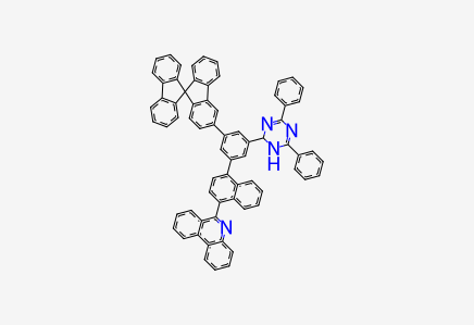 c1ccc(C2=NC(c3cc(-c4ccc5c(c4)-c4ccccc4C54c5ccccc5-c5ccccc54)cc(-c4ccc(-c5nc6ccccc6c6ccccc56)c5ccccc45)c3)NC(c3ccccc3)=N2)cc1